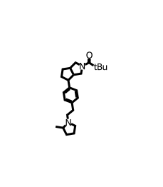 CC1CCCN1CCc1ccc(C2CCC3CN(C(=O)C(C)(C)C)CC32)cc1